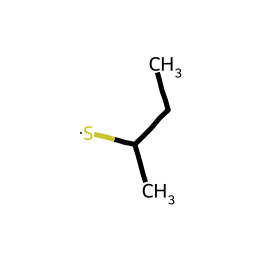 CCC(C)[S]